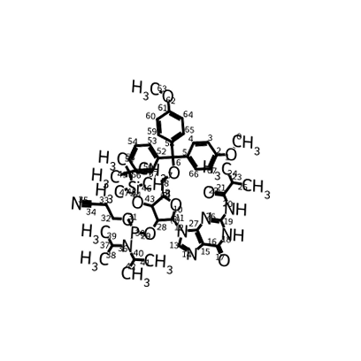 COc1ccc(C(OC[C@H]2O[C@@H](n3cnc4c(=O)[nH]c(NC(=O)C(C)C)nc43)C(OP(OCCC#N)N(C(C)C)C(C)C)C2O[Si](C)(C)C(C)(C)C)(c2ccccc2)c2ccc(OC)cc2)cc1